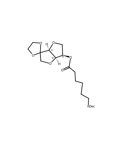 CCCCCCCCCCCCCCCC(=O)O[C@@H]1CO[C@H]2[C@@H]1OCC21OCCO1